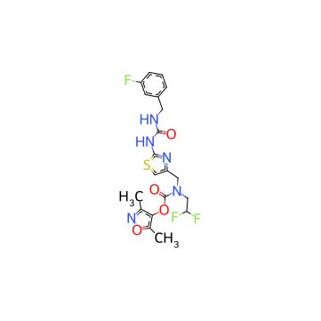 Cc1noc(C)c1OC(=O)N(Cc1csc(NC(=O)NCc2cccc(F)c2)n1)CC(F)F